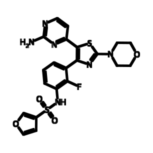 Nc1nccc(-c2sc(N3CCOCC3)nc2-c2cccc(NS(=O)(=O)c3ccoc3)c2F)n1